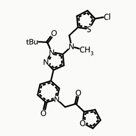 CN(Cc1ccc(Cl)s1)c1cc(-c2ccc(=O)n(CC(=O)c3ccco3)c2)nn1C(=O)C(C)(C)C